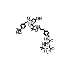 Cc1ncsc1-c1ccc(CNC(=O)[C@@H]2C[C@@H](O)CN2C(=O)[C@@H](NC(=O)CCCc2ccc(CNC(=O)[C@H](CCC(N)=O)NC(=O)OC(C)(C)C)cc2)C(C)(C)C)cc1